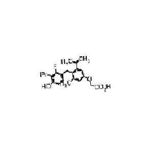 C=C(C)c1cc(OCC(=O)O)cc(C)c1Cc1ccc(O)c(C(C)C)c1F